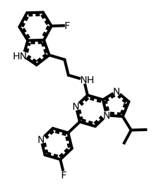 CC(C)c1cnc2c(NCCc3c[nH]c4cccc(F)c34)nc(-c3cncc(F)c3)cn12